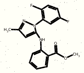 COC(=O)c1ccccc1Nc1cc(C)nn1-c1cc(F)ccc1F